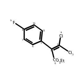 CCOC(=O)C(=C(Cl)Cl)c1ccc(F)cc1